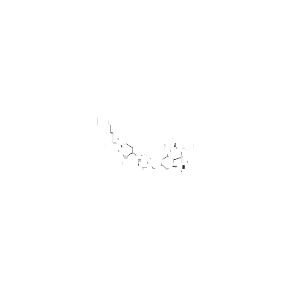 CCN1C(=O)Nc2cc(CN3CCN(c4ccc(C(=O)NCCO)nc4C)CC3)cc3ncnc1c23